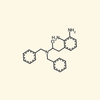 Nc1cccc(CC(Cl)N(Cc2ccccc2)Cc2ccccc2)c1N